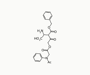 CC(=O)N(CC(=O)OCC(=O)C(C(=O)OCc1ccccc1)C(N)C(=O)O)c1ccccc1